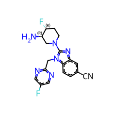 N#Cc1ccc2c(c1)nc(N1CC[C@@H](F)[C@H](N)C1)n2Cc1ncc(F)cn1